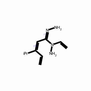 C=C/C(=C\C(=N\N)N(N)C=C)C(C)C